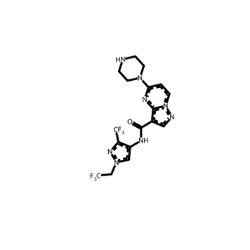 O=C(Nc1cn(CC(F)(F)F)nc1C(F)(F)F)c1cnn2ccc(N3CCNCC3)nc12